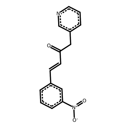 O=C(C=Cc1cccc([N+](=O)[O-])c1)Cc1cccnc1